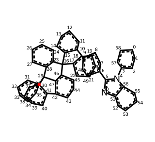 c1ccc(-n2c(-c3ccc(-c4ccccc4C4(c5ccccc5)c5ccccc5C5(c6ccccc6)c6ccccc6-c6cccc4c65)cc3)nc3ccccc32)cc1